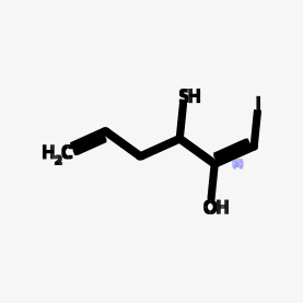 C=CCC(S)/C(O)=C\I